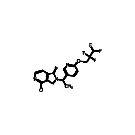 CC(c1ccc(OCC(F)(F)C(F)F)nc1)N1Cc2c(ccnc2Cl)C1=O